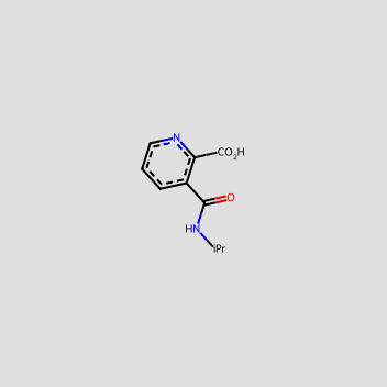 CC(C)NC(=O)c1cccnc1C(=O)O